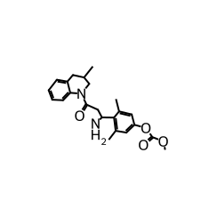 COC(=O)Oc1cc(C)c(C(N)CC(=O)N2CC(C)Cc3ccccc32)c(C)c1